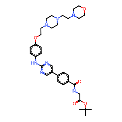 CC(C)(C)OC(=O)CNC(=O)c1ccc(-c2cnc(Nc3ccc(OCCN4CCN(CCN5CCOCC5)CC4)cc3)nc2)cc1